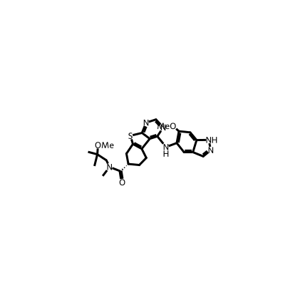 COc1cc2[nH]ncc2cc1Nc1ncnc2sc3c(c12)CC[C@H](C(=O)N(C)CC(C)(C)OC)C3